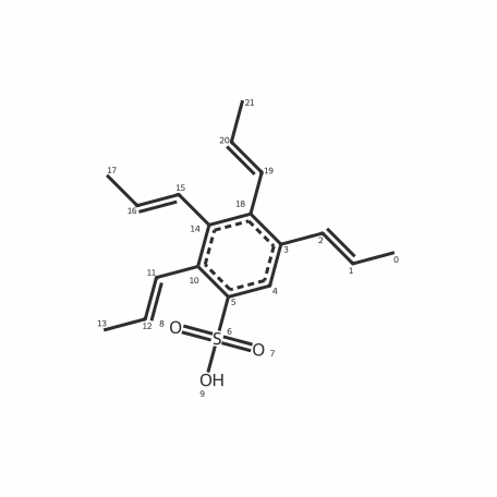 CC=Cc1cc(S(=O)(=O)O)c(C=CC)c(C=CC)c1C=CC